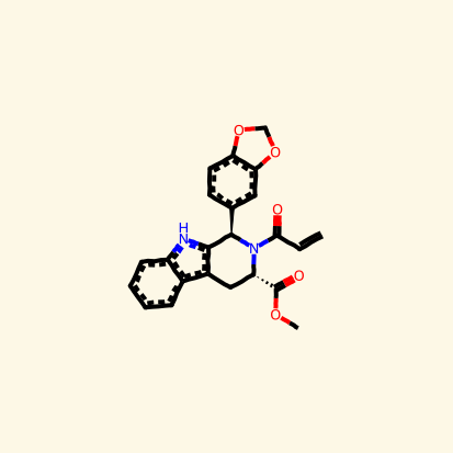 C=CC(=O)N1[C@H](c2ccc3c(c2)OCO3)c2[nH]c3ccccc3c2C[C@H]1C(=O)OC